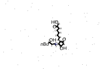 CCCCC(O)C/C=C/[C@H]1[C@H](O)CC(=O)[C@@H]1CCCCCCC(=O)CO